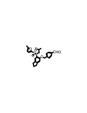 Cc1ccc(S(=O)(=O)N(CC(C)F)c2cc3c(cc2OCc2ccc(C=O)cc2)CCC3)o1